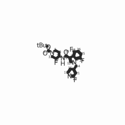 CC(C)(C)OC(=O)N1CC[C@@H](NC(=O)c2cn(Cc3ccnc(F)c3)c3c(F)ccc(F)c23)[C@H](F)C1